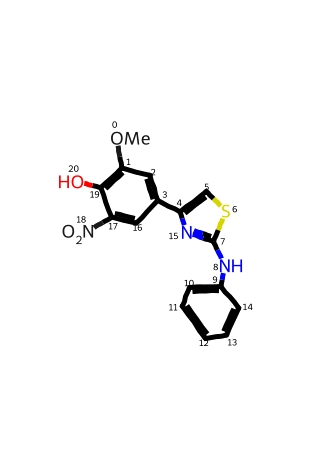 COc1cc(-c2csc(Nc3ccccc3)n2)cc([N+](=O)[O-])c1O